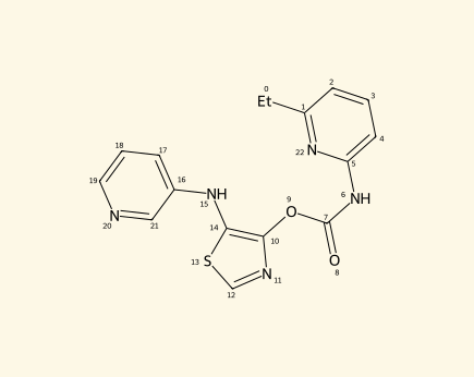 CCc1cccc(NC(=O)Oc2ncsc2Nc2cccnc2)n1